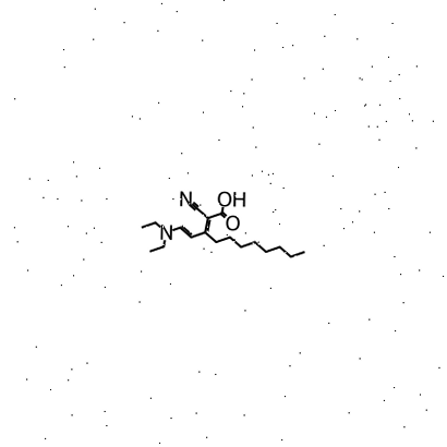 CCCCCCCCC(C=CN(CC)CC)=C(C#N)C(=O)O